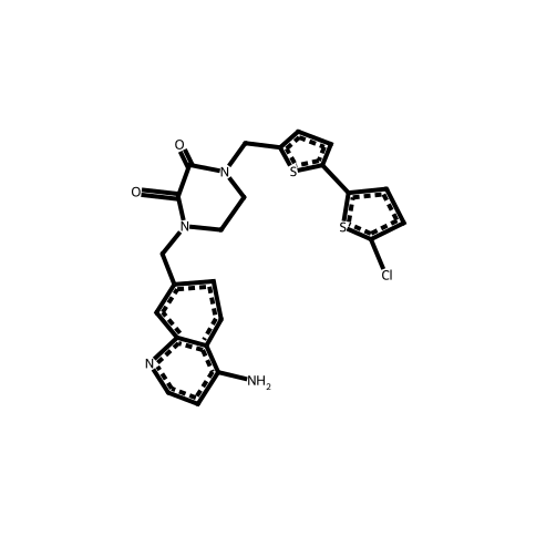 Nc1ccnc2cc(CN3CCN(Cc4ccc(-c5ccc(Cl)s5)s4)C(=O)C3=O)ccc12